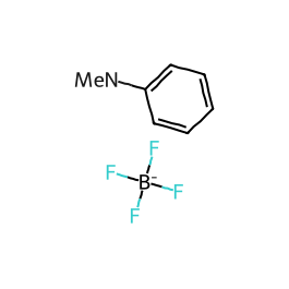 C[NH2+]c1ccccc1.F[B-](F)(F)F